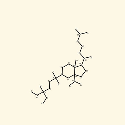 CCC(C)(CCC(C)(C)C1CCC2(C)C(C(C)CCCC(C)C)CCC2(C(C)C)C1)SC